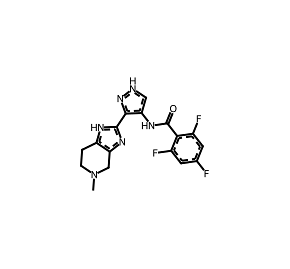 CN1CCc2[nH]c(-c3n[nH]cc3NC(=O)c3c(F)cc(F)cc3F)nc2C1